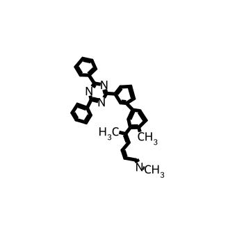 C/N=C/C=C\C=C(/C)c1cc(-c2cccc(-c3nc(-c4ccccc4)nc(-c4ccccc4)n3)c2)ccc1C